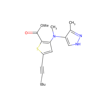 COC(=O)c1sc(C#CC(C)(C)C)cc1N(C)c1c[nH]nc1C